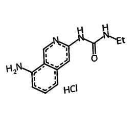 CCNC(=O)Nc1cc2cccc(N)c2cn1.Cl